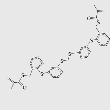 C=C(C)C(=O)SCc1ccccc1Sc1cccc(SCSc2cccc(Sc3ccccc3CSC(=O)C(=C)C)c2)c1